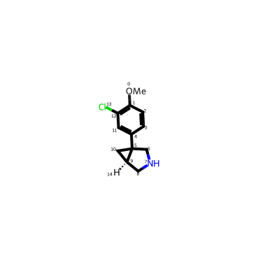 COc1ccc(C23CNC[C@H]2C3)cc1Cl